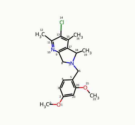 COc1ccc(CN2Cc3nc(C)c(Cl)c(C)c3C2C)c(OC)c1